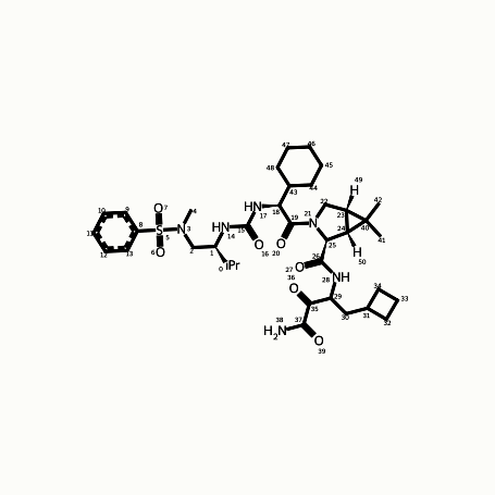 CC(C)[C@@H](CN(C)S(=O)(=O)c1ccccc1)NC(=O)N[C@H](C(=O)N1C[C@H]2[C@@H]([C@H]1C(=O)NC(CC1CCC1)C(=O)C(N)=O)C2(C)C)C1CCCCC1